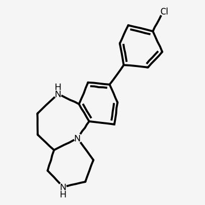 Clc1ccc(-c2ccc3c(c2)NCCC2CNCCN32)cc1